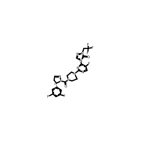 O=C(N1CCN(c2ncc(F)c(-n3cnn(CC(F)(F)F)c3=O)n2)CC1)N1N=CC[C@H]1c1cc(F)cc(F)c1